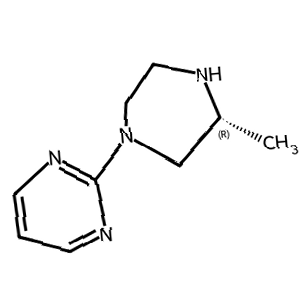 C[C@@H]1CN(c2ncccn2)CCN1